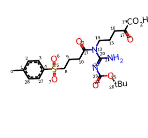 Cc1ccc(S(=O)(=O)CCCC(=O)N(CCCC(=O)C(=O)O)C(N)=NC(=O)OC(C)(C)C)cc1